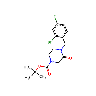 CC(C)(C)OC(=O)N1CCN(Cc2ccc(F)cc2Br)C(=O)C1